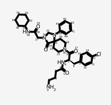 NCCCC(=O)N[C@H](Cc1ccc(Cl)cc1)C(=O)N1CCC2(CC1)C(=O)N(CC(=O)NC1CCCCC1)CN2c1ccccc1